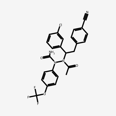 CC(=O)N(C(Cc1ccc(C#N)cc1)c1cccc(Cl)c1)N(C(N)=O)c1ccc(OC(F)(F)F)cc1